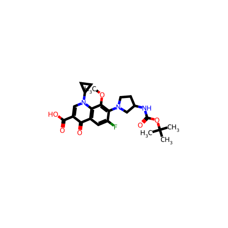 COc1c(N2CCC(NC(=O)OC(C)(C)C)C2)c(F)cc2c(=O)c(C(=O)O)cn(C3CC3)c12